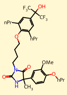 CCCOc1ccc(C2(C)NC(=O)N(CCCCOc3c(CCC)cc(C(O)(C(F)(F)F)C(F)(F)F)cc3CCC)C2=O)cc1OC